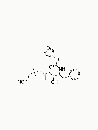 CC(C)(CCC#N)CNC[C@H](O)[C@H](Cc1ccccc1)NC(=O)Oc1ccoc1